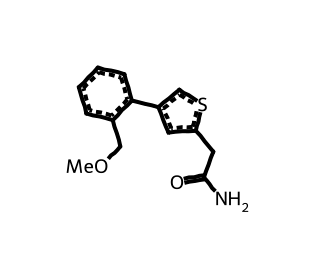 COCc1ccccc1-c1csc(CC(N)=O)c1